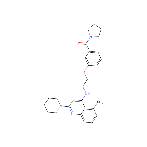 Cc1cccc2nc(N3CCCCC3)nc(NCCOc3cccc(C(=O)N4CCCC4)c3)c12